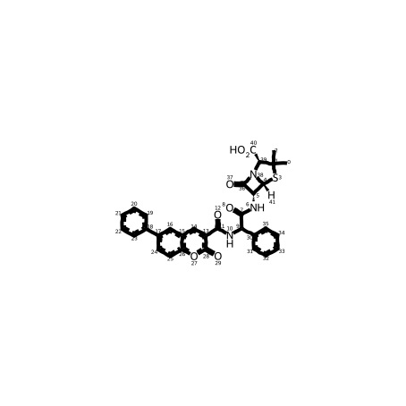 CC1(C)S[C@@H]2[C@H](NC(=O)C(NC(=O)c3cc4cc(-c5ccccc5)ccc4oc3=O)c3ccccc3)C(=O)N2[C@H]1C(=O)O